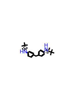 CC(C)(C)[Si](C)(C)Nc1ccc(Cc2ccc(N[Si](C)(C)C(C)(C)C)cc2)cc1